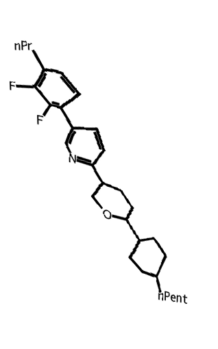 CCCCCC1CCC(C2CCC(c3ccc(-c4ccc(CCC)c(F)c4F)cn3)CO2)CC1